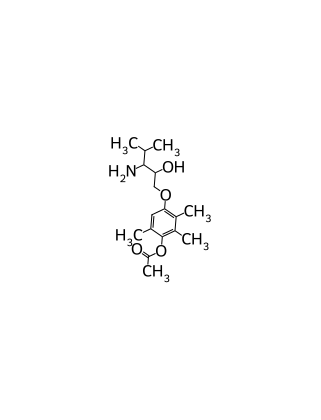 CC(=O)Oc1c(C)cc(OCC(O)C(N)C(C)C)c(C)c1C